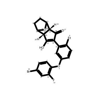 CCc1ccc(Oc2ccc(Br)cc2F)cc1C1=C(O)[C@@H]2C3CCC(O3)[C@@H]2C1=O